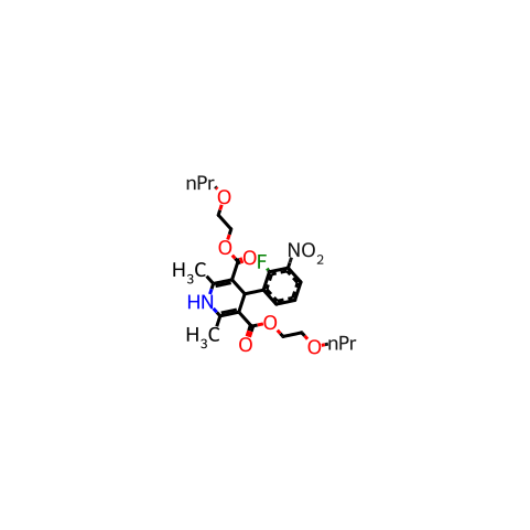 CCCOCCOC(=O)C1=C(C)NC(C)=C(C(=O)OCCOCCC)C1c1cccc([N+](=O)[O-])c1F